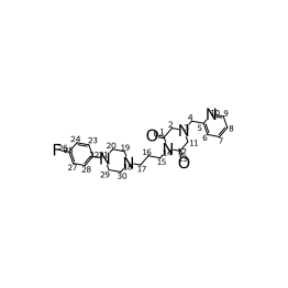 O=C1CN(Cc2ccccn2)CC(=O)N1CCCN1CCN(c2ccc(F)cc2)CC1